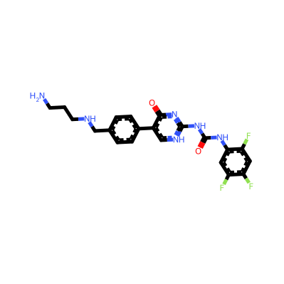 NCCCNCc1ccc(-c2c[nH]c(NC(=O)Nc3cc(F)c(F)cc3F)nc2=O)cc1